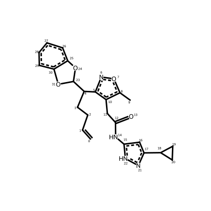 C=CCCC(c1noc(C)c1CC(=O)Nc1cc(C2CC2)n[nH]1)C1Oc2ccccc2O1